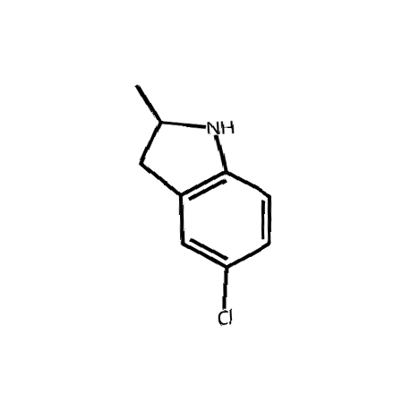 CC1Cc2cc(Cl)ccc2N1